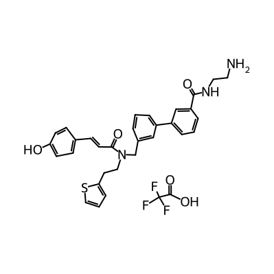 NCCNC(=O)c1cccc(-c2cccc(CN(CCc3cccs3)C(=O)C=Cc3ccc(O)cc3)c2)c1.O=C(O)C(F)(F)F